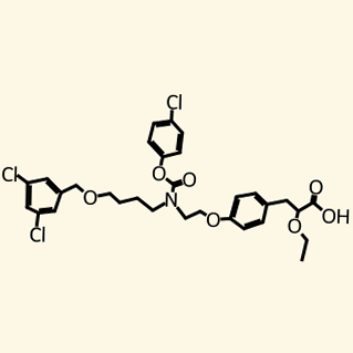 CCOC(Cc1ccc(OCCN(CCCCOCc2cc(Cl)cc(Cl)c2)C(=O)Oc2ccc(Cl)cc2)cc1)C(=O)O